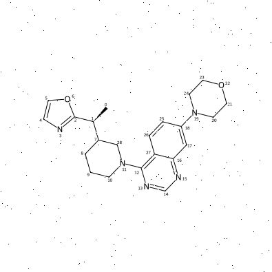 C[C@H](c1ncco1)C1CCCN(c2ncnc3cc(N4CCOCC4)ccc23)C1